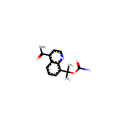 CNC(=O)c1ccnc2c(C(C)(C)OC(N)=O)cccc12